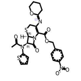 CC(=O)N(c1cccs1)[C@@H]1C(=O)N2C(C(=O)OCc3ccc([N+](=O)[O-])cc3)=C(/N=C3/CCCCO3)CS[C@H]12